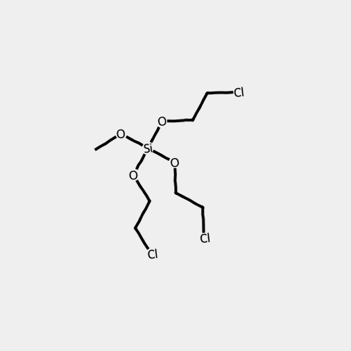 CO[Si](OCCCl)(OCCCl)OCCCl